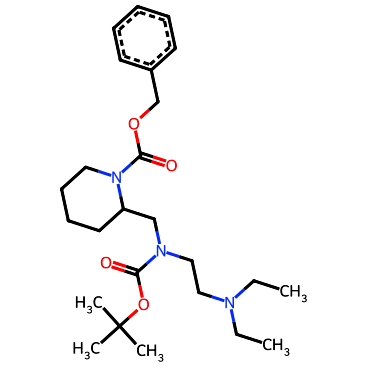 CCN(CC)CCN(CC1CCCCN1C(=O)OCc1ccccc1)C(=O)OC(C)(C)C